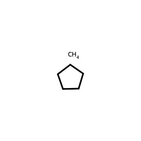 C.C1CCCC1